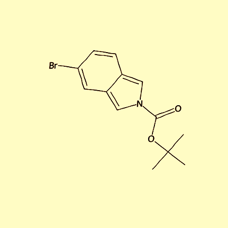 CC(C)(C)OC(=O)n1cc2ccc(Br)cc2c1